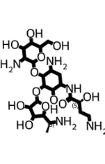 C[C@H](N)C1OC(OC2C(O)C(NC(=O)[C@@H](O)CCN)CC(N)C2OC2OC(CO)C(O)C(O)C2N)C(O)C1O